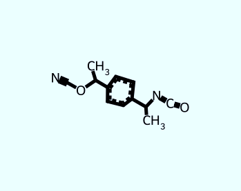 CC(N=C=O)c1ccc(C(C)OC#N)cc1